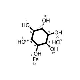 Cl.O[C@H]1[C@H](O)[C@@H](O)[C@H](O)[C@@H](O)[C@H]1O.[Fe]